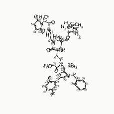 C[C@H](C(=O)NCCNC(=O)[C@H](CCN(C(=O)CO)[C@@H](c1cc(-c2cc(F)ccc2F)cn1Cc1ccccc1)C(C)(C)C)NC(=O)OCC[SH](C)(C)(C)C)N1C(=O)C=CC1=O